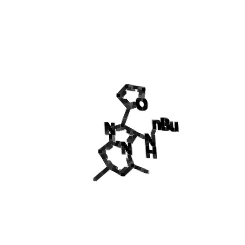 CCCCNc1c(-c2ccco2)nc2cc(C)cc(C)n12